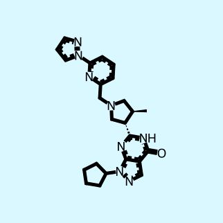 C[C@@H]1CN(Cc2cccc(-n3cccn3)n2)C[C@H]1c1nc2c(cnn2C2CCCC2)c(=O)[nH]1